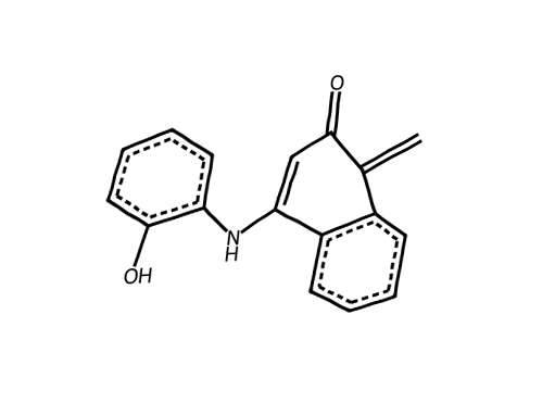 C=C1C(=O)C=C(Nc2ccccc2O)c2ccccc21